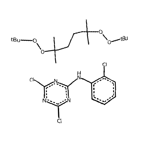 CC(C)(C)OOC(C)(C)CCC(C)(C)OOC(C)(C)C.Clc1nc(Cl)nc(Nc2ccccc2Cl)n1